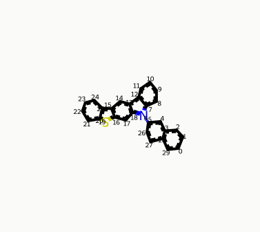 c1ccc2cc(-n3c4ccccc4c4cc5c(cc43)sc3ccccc35)ccc2c1